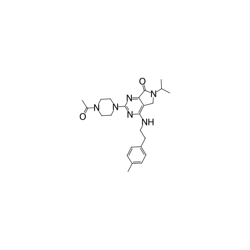 CC(=O)N1CCN(c2nc(NCCc3ccc(C)cc3)c3c(n2)C(=O)N(C(C)C)C3)CC1